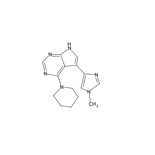 Cn1cnc(-c2c[nH]c3ncnc(N4CCCCC4)c23)c1